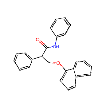 O=C(Nc1ccccc1)C(COc1cccc2ccccc12)c1ccccc1